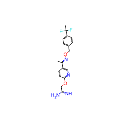 C/C(=N\OCc1ccc(C(C)(F)F)cc1)c1ccc(OCC(=N)N)nc1